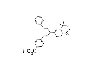 CC1(C)CCSc2ccc(C(/C=C/c3ccc(C(=O)O)cc3)CCc3ccccc3)cc21